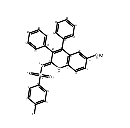 Cc1ccc(S(=O)(=O)/N=c2\oc3ccc(C=O)cc3c(-c3ccccc3)c2-c2ccccc2)cc1